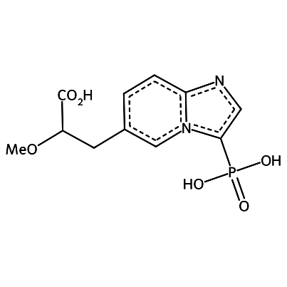 COC(Cc1ccc2ncc(P(=O)(O)O)n2c1)C(=O)O